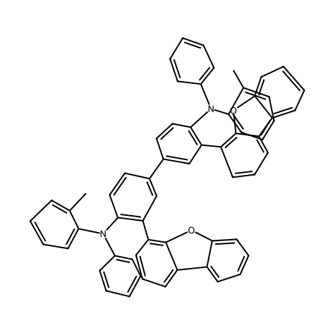 Cc1ccccc1N(c1ccccc1)c1ccc(-c2ccc(N(c3ccccc3)c3ccccc3C)c(-c3cccc4c3oc3ccccc34)c2)cc1-c1cccc2c1oc1ccccc12